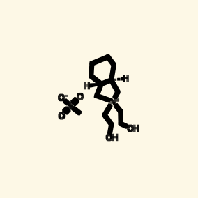 CS(=O)(=O)[O-].OCC[N+]1(CCO)C[C@@H]2CCCC[C@H]2C1